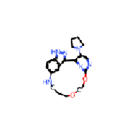 c1cc2[nH]nc3c2cc1NCCCOCCOc1ncc(N2CCCC2)c-3n1